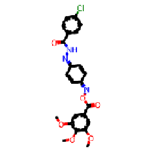 COc1cc(C(=O)ON=C2C=CC(=NNC(=O)c3ccc(Cl)cc3)C=C2)cc(OC)c1OC